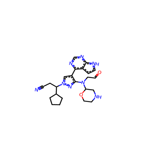 N#CCC(C1CCCC1)n1cc(-c2ncnc3[nH]ccc23)c(N(CC=O)C2CNCCO2)n1